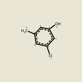 Cc1cc(O)cc(Cl)c1